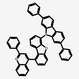 c1ccc(-c2ccc3c4ccc(-c5ccccc5)cc4n(-c4cccc5c4oc4cccc(-c6cc(-c7ccccc7)nc7ccccc67)c45)c3c2)cc1